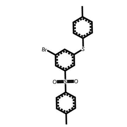 Cc1ccc(Sc2cc(Br)cc(S(=O)(=O)c3ccc(C)cc3)c2)cc1